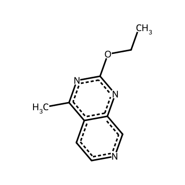 CCOc1nc(C)c2ccncc2n1